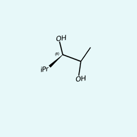 CC(C)[C@@H](O)C(C)O